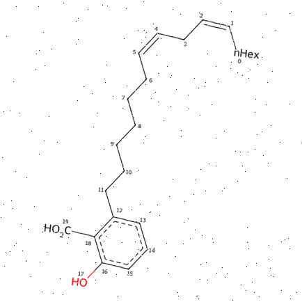 CCCCCC/C=C\C/C=C\CCCCCCc1cccc(O)c1C(=O)O